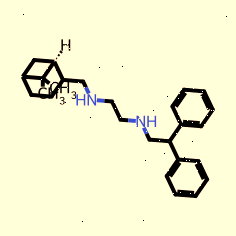 CC1(C)C2CCC(CNCCNCC(c3ccccc3)c3ccccc3)[C@@H]1C2